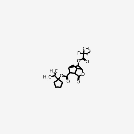 CC(C)C1(OC(=O)C2C3CC4C(OC(=O)C42)C3OC(=O)C(C)(F)F)CCCC1